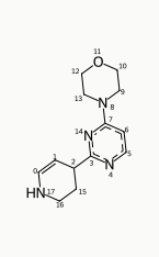 C1=CC(c2nccc(N3CCOCC3)n2)CCN1